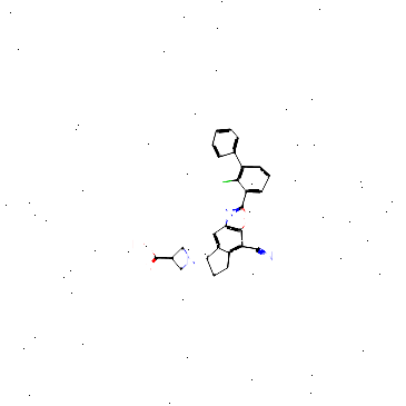 N#Cc1c2c(cc3nc(-c4cccc(-c5ccccc5)c4Cl)oc13)[C@@H](N1CC(C(=O)O)C1)CC2